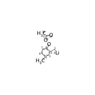 [Li][CH2]c1cc(C)ccc1OOC(C)=O